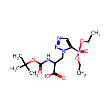 CCOP(=O)(OCC)c1cnnn1CC(NC(=O)OC(C)(C)C)C(=O)O